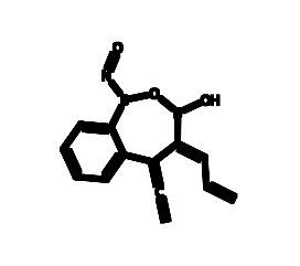 C=C=C1/C(=C\C=C)B(O)OB(N=O)c2ccccc21